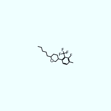 CCCCCC1CCC(c2ccc(C)c(F)c2C(F)(F)F)CO1